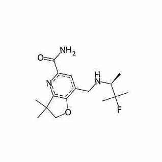 C[C@H](NCc1cc(C(N)=O)nc2c1OCC2(C)C)C(C)(C)F